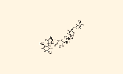 CS(=O)(=O)CCOc1ccc(NC(=O)NC2CCC(Cn3cncc3-c3cc(Cl)ccc3O)CC2)cc1